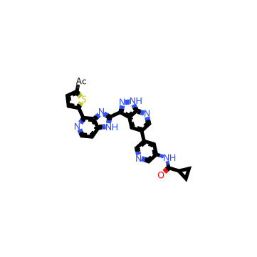 CC(=O)c1ccc(-c2nccc3[nH]c(-c4n[nH]c5ncc(-c6cncc(NC(=O)C7CC7)c6)cc45)nc23)s1